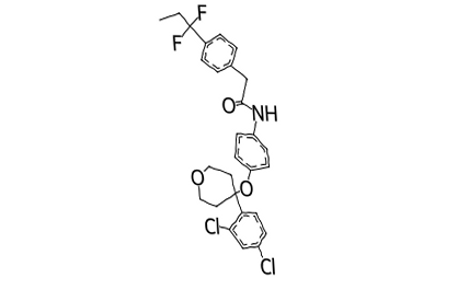 CCC(F)(F)c1ccc(CC(=O)Nc2ccc(OC3(c4ccc(Cl)cc4Cl)CCOCC3)cc2)cc1